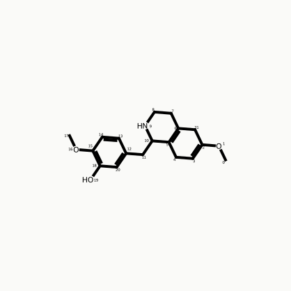 COC1=CCC2=C(CCNC2Cc2ccc(OC)c(O)c2)C1